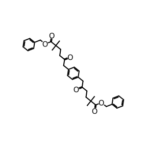 CC(C)(CCC(=O)Cc1ccc(CC(=O)CCC(C)(C)C(=O)OCc2ccccc2)cc1)C(=O)OCc1ccccc1